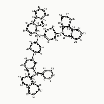 c1ccc(-n2c3cc(-c4ccc(N(c5ccc(-c6cc7ccccc7c7ccccc67)cc5)c5cccc6c5sc5ccccc56)cc4)ccc3c3ccc4ccccc4c32)cc1